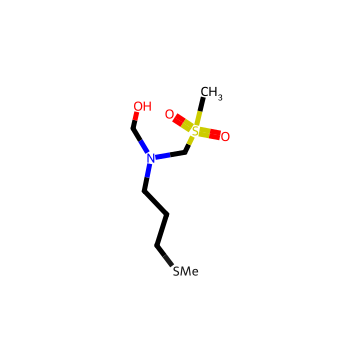 CSCCCN(CO)CS(C)(=O)=O